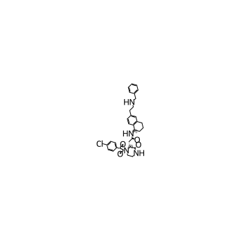 O=C(C[C@@H]1C(=O)NCCN1S(=O)(=O)c1ccc(Cl)cc1)N[C@@H]1CCCc2cc(CCNCc3ccccc3)ccc21